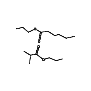 CCCCCC(=O)OCCC.CCCOC(=O)C(C)C